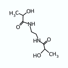 CC(O)C(=O)NCCNC(=O)C(C)O